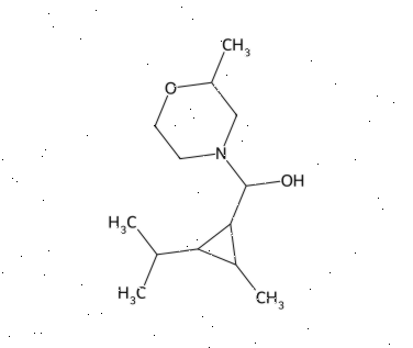 CC1CN(C(O)C2C(C)C2C(C)C)CCO1